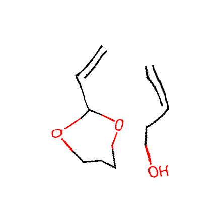 C=CC1OCCO1.C=CCO